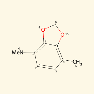 CNc1ccc(C)c2c1OCO2